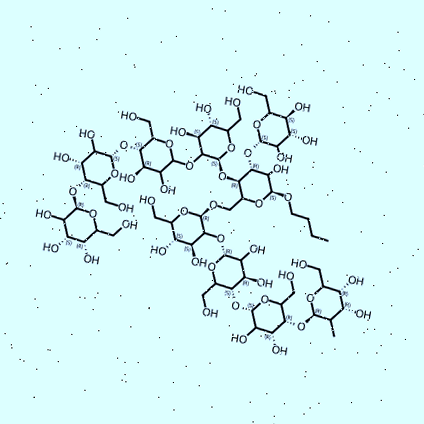 CCCCO[C@H]1OC(CO[C@@H]2OC(CO)[C@@H](O)[C@H](O)C2O[C@H]2OC(CO)[C@@H](O[C@@H]3OC(CO)[C@H](O[C@H]4OC(CO)[C@H](O)[C@H](O)C4C)[C@H](O)C3O)[C@H](O)C2O)[C@@H](O[C@@H]2OC(CO)[C@@H](O)[C@H](O)C2OC2OC(CO)[C@@H](O[C@@H]3OC(CO)[C@H](O[C@H]4OC(CO)[C@H](O)[C@H](O)C4O)[C@H](O)C3O)[C@H](O)C2O)[C@H](O[C@@H]2OC(CO)[C@@H](O)[C@H](O)C2O)C1O